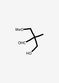 COCC(C)(C=O)CO